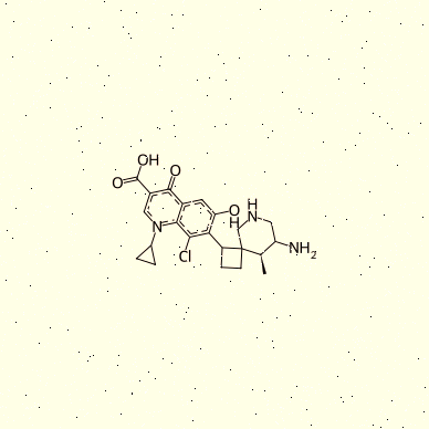 C[C@@H]1C(N)CNCC12CCC2c1c(O)cc2c(=O)c(C(=O)O)cn(C3CC3)c2c1Cl